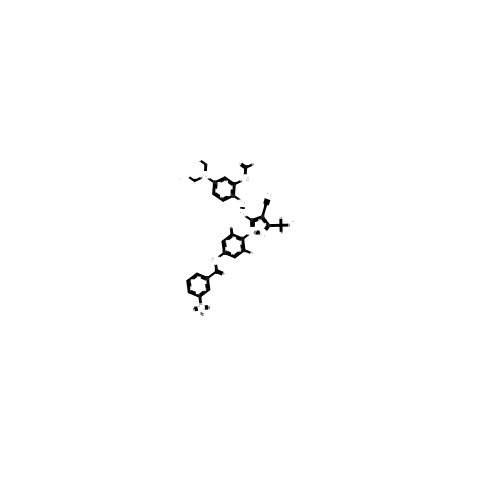 CCN(CC)c1ccc(/N=N/c2c(C#N)c(C(C)(C)C)nn2-c2c(Cl)cc(NC(=O)c3cccc(S(=O)(=O)O)c3)cc2Cl)c(NC(C)=O)c1